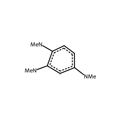 CNc1[c]c(NC)c(NC)cc1